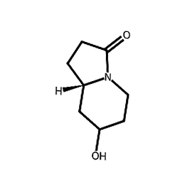 O=C1CC[C@H]2CC(O)CCN12